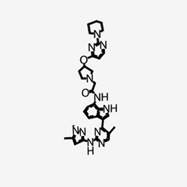 Cc1cnc(Nc2cc(C)n(C)n2)nc1-c1c[nH]c2c(NC(=O)CN3CCC(Oc4ccnc(N5CCCCC5)n4)C3)cccc12